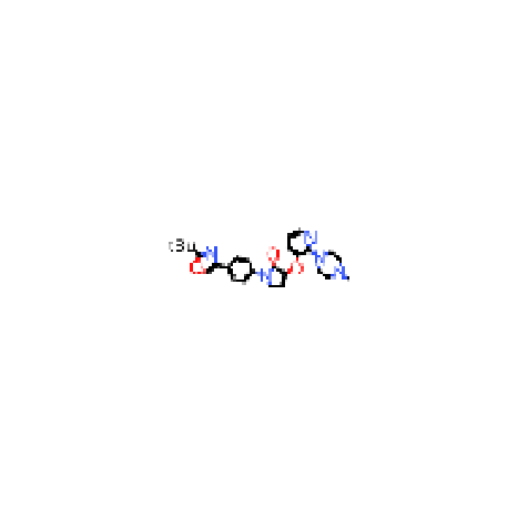 CN1CCN(c2ncccc2OC2CCN(c3ccc(-c4coc(C(C)(C)C)n4)cc3)C2=O)CC1